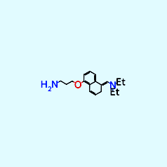 CCN(C=C1CC=Cc2c(OCCCN)cccc21)CC